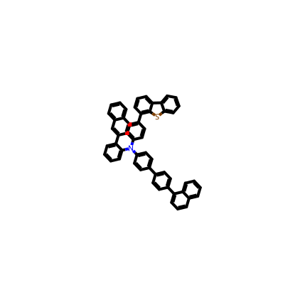 c1ccc(N(c2ccc(-c3ccc(-c4cccc5ccccc45)cc3)cc2)c2ccc(-c3cccc4c3sc3ccccc34)cc2)c(-c2ccc3ccccc3c2)c1